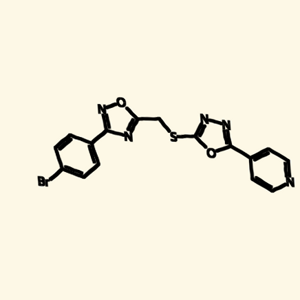 Brc1ccc(-c2noc(CSc3nnc(-c4ccncc4)o3)n2)cc1